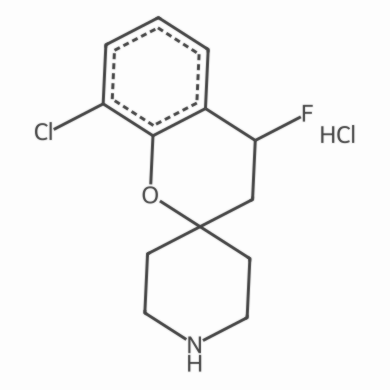 Cl.FC1CC2(CCNCC2)Oc2c(Cl)cccc21